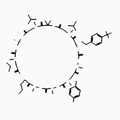 CC[C@H](C)[C@@H]1NC(=O)[C@H](C(C)C)N(C)C(=O)C[C@@H](C)NC(=O)[C@H](CC(C)C)N(C)C(=O)C(C)(C)NC(=O)[C@H](CC(C)C)N(C)C(=O)[C@H](CCc2ccc(C(F)(F)F)cc2)NC(=O)CN(C)C(=O)[C@H](Cc2ccc(Cl)cc2)N(C)C(=O)CN(C)C(=O)CN(C)C1=O